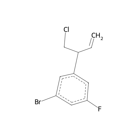 C=CC(CCl)c1cc(F)cc(Br)c1